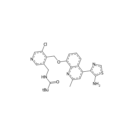 Cc1cc(-c2ncsc2N)c2cccc(OCc3c(Cl)cncc3CNC(=O)C(C)(C)C)c2n1